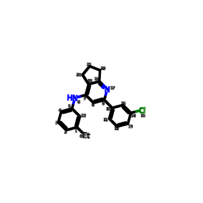 CCc1cccc(Nc2cc(-c3cccc(Cl)c3)nc3c2CCC3)c1